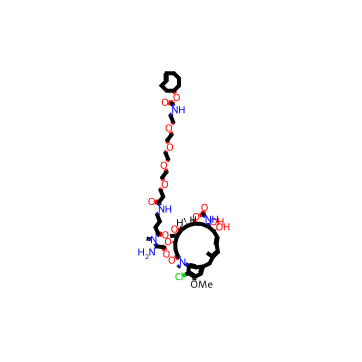 COc1cc2cc(c1Cl)N(C)C(=O)C[C@H](OC(=O)[C@H](N)N(C)C(=O)CCCNC(=O)CCOCCOCCOCCOCCNC(=O)OC1CC/C=C/CCC1)C1(C)O[C@H]1[C@H](C)[C@@H]1C[C@@](O)(NC(=O)O1)[C@H](O)/C=C/C=C(\C)C2